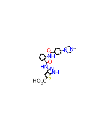 CN1CCN(c2ccc(C(=O)Nc3ccccc3C(=O)Nc3n[nH]c4sc(C(=O)O)cc34)cc2)CC1